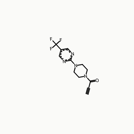 C#CC(=O)N1CCN(c2ncc(C(F)(F)F)cn2)CC1